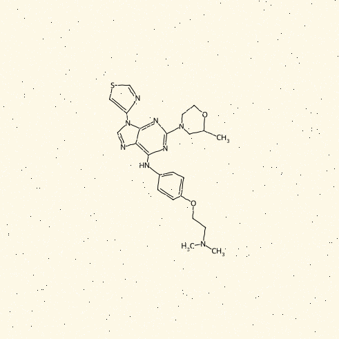 CC1CN(c2nc(Nc3ccc(OCCN(C)C)cc3)c3ncn(-c4cscn4)c3n2)CCO1